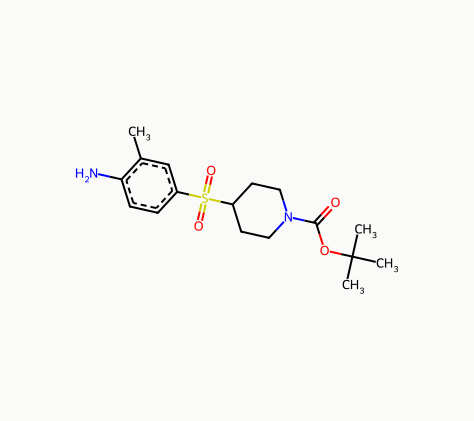 Cc1cc(S(=O)(=O)C2CCN(C(=O)OC(C)(C)C)CC2)ccc1N